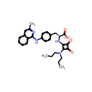 CCCN(CCC)c1c(N[C@@H](Cc2ccc(Nc3nc(C)cc4ccccc34)cc2)C(=O)O)c(=O)c1=O